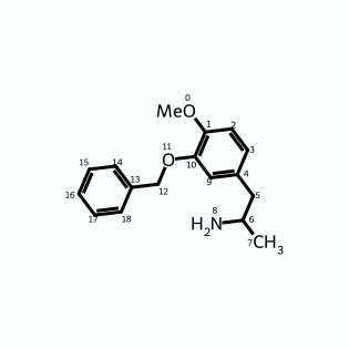 COc1ccc(CC(C)N)cc1OCc1ccccc1